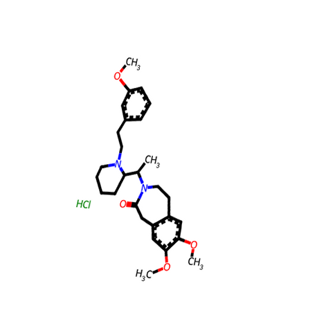 COc1cccc(CCN2CCCCC2C(C)N2CCc3cc(OC)c(OC)cc3CC2=O)c1.Cl